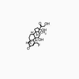 C[C@]12C(CF)=CC(=O)C=C1CC[C@@H]1[C@@H]2C(O)C[C@@]2(C)[C@H]1CC[C@]2(O)C(=O)CO